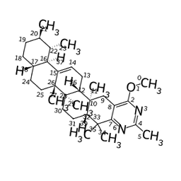 COc1nc(C)nc2c1C[C@]1(C)[C@H]3CC=C4[C@H]5[C@@H](CC[C@@H](C)[C@@H]5C)CC[C@@]4(C)[C@]3(C)CC[C@H]1C2(C)C